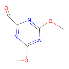 COc1nc(C=O)nc(OC)n1